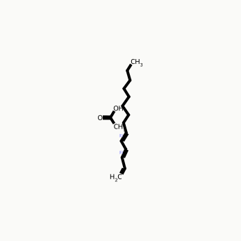 C=C/C=C/C=C/CCCCCCCC.CC(=O)O